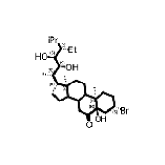 CC[C@@H](C(C)C)[C@H](O)[C@@H](O)[C@@H](C)[C@H]1CCC2C3CC(=O)[C@@]4(O)C[C@@H](Br)CC[C@]4(C)C3CC[C@@]21C